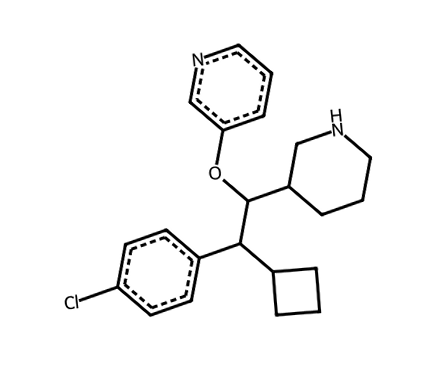 Clc1ccc(C(C2CCC2)C(Oc2cccnc2)C2CCCNC2)cc1